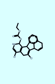 CCOC(=O)OC1NC=C(Cl)C2=C1C1C(=C(Cl)C2)C2C=CCc3cccc1c32